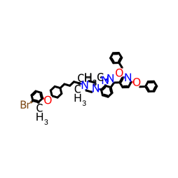 Cc1c(Br)cccc1OC1CCC(CCCC(C)(C)N2CCN(c3cccc4c(-c5ccc(OCc6ccccc6)nc5OCc5ccccc5)nn(C)c34)CC2)CC1